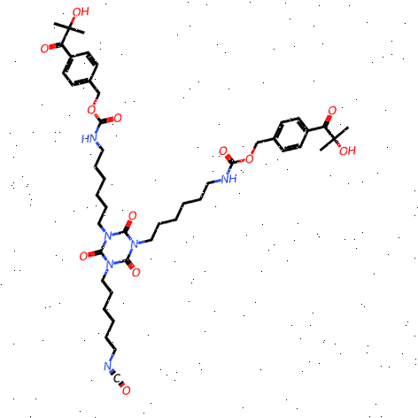 CC(C)(O)C(=O)c1ccc(COC(=O)NCCCCCCn2c(=O)n(CCCCCCN=C=O)c(=O)n(CCCCCCNC(=O)OCc3ccc(C(=O)C(C)(C)O)cc3)c2=O)cc1